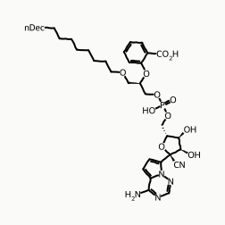 CCCCCCCCCCCCCCCCCCOC[C@H](COP(=O)(O)OC[C@H]1O[C@@](C#N)(c2ccc3c(N)ncnn23)[C@H](O)[C@@H]1O)Oc1ccccc1C(=O)O